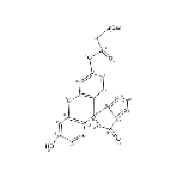 CCCCCCCCCCCC(=O)Oc1ccc2c(c1)Oc1cc(O)ccc1C21OC(=O)c2ccccc21